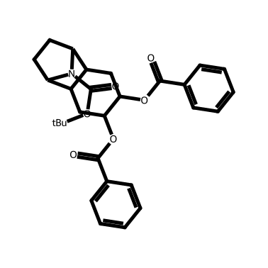 CC(C)(C)OC(=O)N1C2CCC1C1CC(OC(=O)c3ccccc3)C(OC(=O)c3ccccc3)CC12